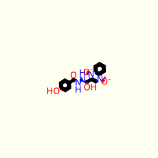 O=C(NNC(O)c1c[n+]([O-])c2ccccc2[n+]1[O-])c1ccc(O)cc1